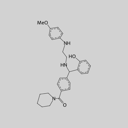 COc1ccc(NCCNC(c2ccc(C(=O)N3CCCCC3)cc2)c2ccccc2O)cc1